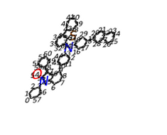 c1ccc(-n2c3cccc(-c4ccc(N(c5ccc(-c6ccc7ccccc7c6)cc5)c5cccc6c5sc5ccccc56)cc4)c3c3c4ccccc4oc32)cc1